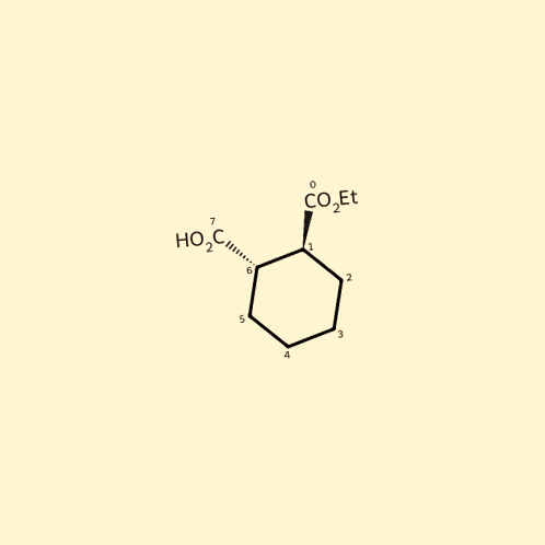 CCOC(=O)[C@H]1CCCC[C@@H]1C(=O)O